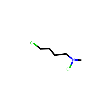 CN(Cl)CCCCCl